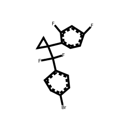 Fc1ccc(C2(C(F)(F)c3ccc(Br)cc3)CC2)c(F)c1